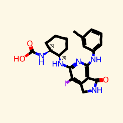 Cc1cccc(Nc2nc(N[C@@H]3CCCC[C@@H]3NC(=O)O)c(I)c3c2C(=O)NC3)c1